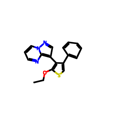 CCOc1scc(-c2ccccc2)c1-c1cnn2cccnc12